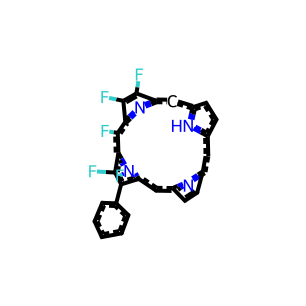 FC1=C(F)c2nc1cc1ccc(cc3nc(cc4c(-c5ccccc5)c(F)c(c2F)n4F)C=C3)[nH]1